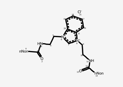 CCCCCCCCCC(=O)NCCn1c[n+](CCNC(=O)CCCCCCCCC)c2ccccc21.[Cl-]